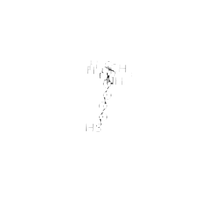 CC(C)(C)OC(=O)NOCCOCCOCCOCCS